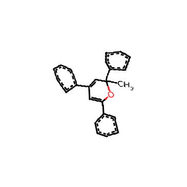 CC1(c2ccccc2)C=C(c2ccccc2)C=C(c2ccccc2)O1